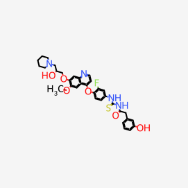 COc1cc2c(Oc3ccc(NC(=S)NC(=O)Cc4cccc(O)c4)cc3F)ccnc2cc1OCC(O)CN1CCCCC1